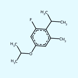 Cc1cc(OC(C)C)cc(F)c1C(C)C